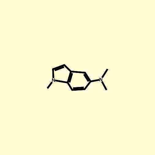 CN(C)c1ccc2c(ccn2C)c1